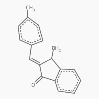 BC1/C(=C\c2ccc(C)cc2)C(=O)c2ccccc21